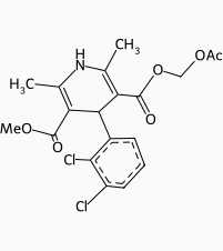 COC(=O)C1=C(C)NC(C)=C(C(=O)OCOC(C)=O)C1c1cccc(Cl)c1Cl